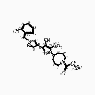 CC(C)(C)OC(=O)N1CCCC(n2nc(-c3cnn(Cc4ccccc4Cl)c3)c(C#N)c2N)CCC1